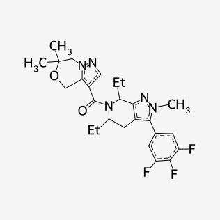 CCC1Cc2c(nn(C)c2-c2cc(F)c(F)c(F)c2)C(CC)N1C(=O)c1cnn2c1COC(C)(C)C2